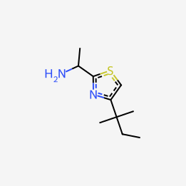 CCC(C)(C)c1csc(C(C)N)n1